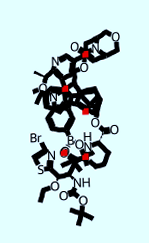 CCO[C@H](c1nc(Br)cs1)[C@H](NC(=O)OC(C)(C)C)C(=O)N1CCC[C@@H](C(=O)OCC(C)(C)Cc2c(-c3cc(C4=CC5COCC(C4)N5C(=O)OCC4c5ccccc5-c5ccccc54)cnc3[C@H](C)OC)n(CC)c3ccc(B4OC(C)(C)C(C)(C)O4)cc23)N1